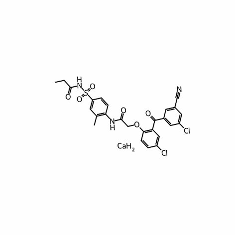 CCC(=O)NS(=O)(=O)c1ccc(NC(=O)COc2ccc(Cl)cc2C(=O)c2cc(Cl)cc(C#N)c2)c(C)c1.[CaH2]